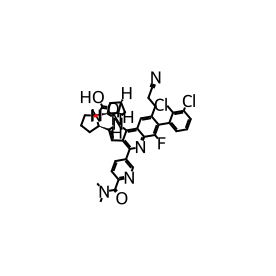 CN(C)C(=O)c1ccc(-c2nc3c(F)c(-c4cccc(Cl)c4Cl)c(CCC#N)cc3c3c2cc([C@H]2CCCN2C(=O)O)n3[C@H]2[C@H]3CN[C@@H]2C3)cn1